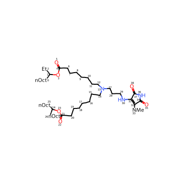 CCCCCCCCC(CC)OC(=O)CCCCCCCN(CCCCCCCC(=O)OC(CCCCCCCC)CCCCCCCC)CCCNC1=C(NC)C(=O)NC1=O